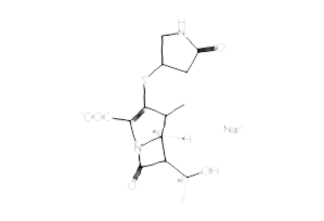 CC1C(SC2CNC(=O)C2)=C(C(=O)[O-])N2C(=O)C([C@@H](C)O)[C@H]12.[Na+]